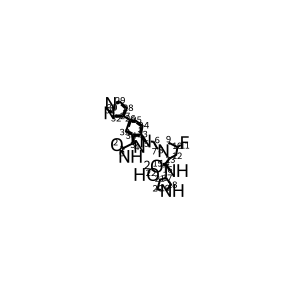 NC(=O)c1nn(CCN2CC(F)CC2C(=O)NC2CNCC2O)c2ccc(-c3ccnnc3)cc12